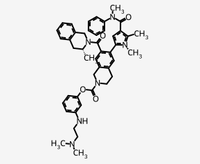 Cc1c(C(=O)N(C)c2ccccc2)cc(-c2cc3c(cc2C(=O)N2Cc4ccccc4C[C@H]2C)CN(C(=O)Oc2cccc(NCCN(C)C)c2)CC3)n1C